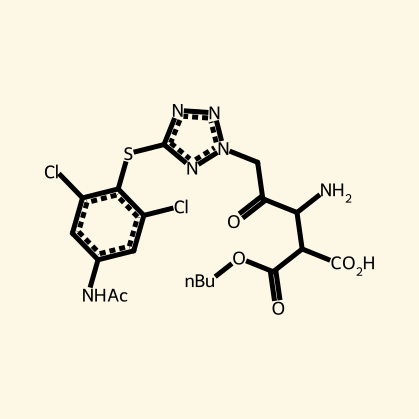 CCCCOC(=O)C(C(=O)O)C(N)C(=O)Cn1nnc(Sc2c(Cl)cc(NC(C)=O)cc2Cl)n1